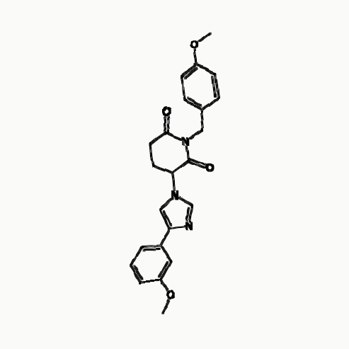 COc1ccc(CN2C(=O)CCC(n3cnc(-c4cccc(OC)c4)c3)C2=O)cc1